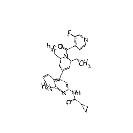 CCC1C=C(c2cc(NC(=O)C3CC3)nc3[nH]ccc23)CC(CC)N1C(=O)c1ccncc1F